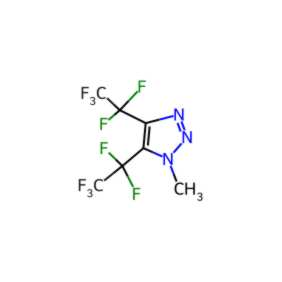 Cn1nnc(C(F)(F)C(F)(F)F)c1C(F)(F)C(F)(F)F